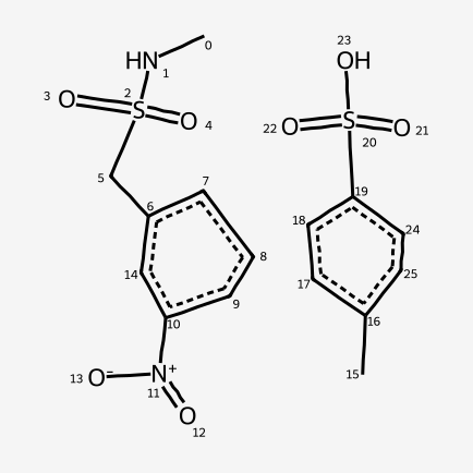 CNS(=O)(=O)Cc1cccc([N+](=O)[O-])c1.Cc1ccc(S(=O)(=O)O)cc1